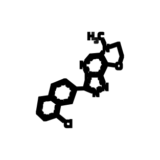 CN1CCOc2c1cnn1c(-c3ccc4cccc(Cl)c4c3)nnc21